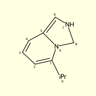 CC(C)C1=CC=CC2=CNCN21